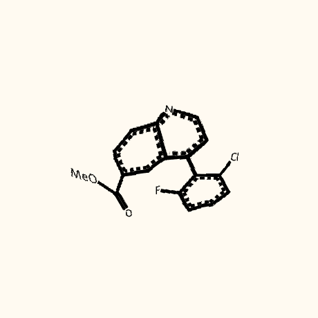 COC(=O)c1ccc2nccc(-c3c(F)cccc3Cl)c2c1